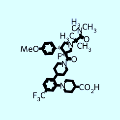 COc1ccc([C@@H]2CN(C(C)(C)C(=O)N(C)C)C[C@@]2(F)C(=O)N2CCC(c3ccc(C(F)(F)F)cc3N3CCC(C(=O)O)CC3)CC2)cc1